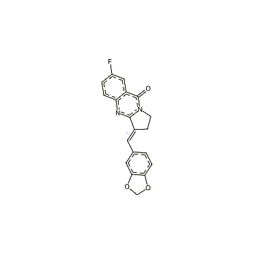 O=c1c2cc(F)ccc2nc2n1CC/C2=C\c1ccc2c(c1)OCO2